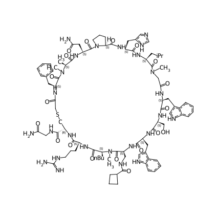 CCCC[C@H]1C(=O)N[C@@H](CCCNC(=N)N)C(=O)N[C@H](C(=O)NCC(N)=O)CSCC(=O)N[C@@H](Cc2ccccc2)C(=O)N(C)[C@@H](C)C(=O)N[C@@H](CC(N)=O)C(=O)N2CCC[C@H]2C(=O)N[C@@H](Cc2cnc[nH]2)C(=O)N[C@@H](CC(C)C)C(=O)N(C)CC(=O)N[C@@H](Cc2c[nH]c3ccccc23)C(=O)N[C@@H](CO)C(=O)N[C@@H](Cc2c[nH]c3ccccc23)C(=O)N[C@@H](CNC(=O)C2CCC2)C(=O)N1C